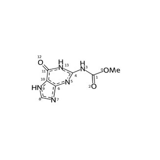 COC(=O)Nc1nc2nc[nH]c2c(=O)[nH]1